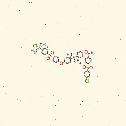 CCC(Oc1ccc(C(c2ccc(Oc3ccc(S(=O)(=O)c4ccc(C(C)(C)Cl)cc4)cc3)cc2)(C(F)(F)F)C(F)(F)F)cc1)c1ccc(S(=O)(=O)c2ccc(Cl)cc2)cc1